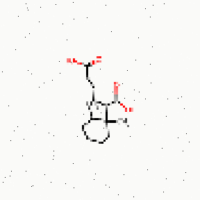 CC1CCCCC1(C)C(CCCC(=O)O)C(=O)O